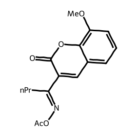 CCCC(=NOC(C)=O)c1cc2cccc(OC)c2oc1=O